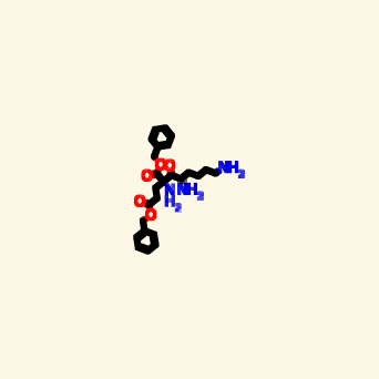 NCCCC[C@H](N)C(=O)C(N)(CCC(=O)OCc1ccccc1)C(=O)OCc1ccccc1